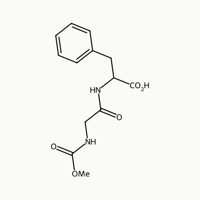 COC(=O)NCC(=O)NC(Cc1ccccc1)C(=O)O